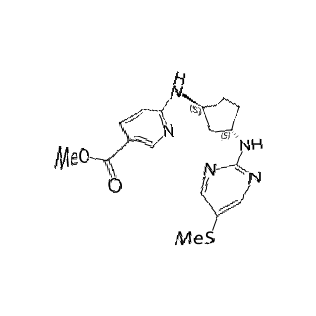 COC(=O)c1ccc(N[C@H]2CC[C@H](Nc3ncc(SC)cn3)C2)nc1